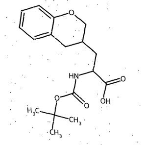 CC(C)(C)OC(=O)NC(CC1COc2ccccc2C1)C(=O)O